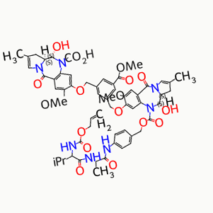 C=CCOC(=O)NC(C(=O)NC(C)C(=O)Nc1ccc(COC(=O)N2c3cc(OCc4cc(COc5cc6c(cc5OC)C(=O)N5C=C(C)C[C@H]5[C@H](O)N6C(=O)O)cc(C(=O)OC)c4)c(OC)cc3C(=O)N3C=C(C)C[C@H]3[C@@H]2O)cc1)C(C)C